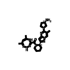 Cc1cc(C)[nH]c(C(=O)N2CCCC[C@H]2c2cc3nc(N4CC[C@H](N)C4)c(C)cn3n2)n[nH]n1